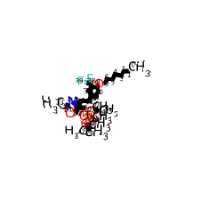 CCCCCCCCOc1ccc(CCC2(COP(=O)(OC(C)(C)C)OC(C)(C)C)COC(C)=N2)cc1C(F)F